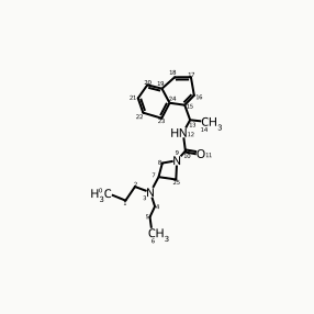 CCCN(CCC)C1CN(C(=O)NC(C)c2cccc3ccccc23)C1